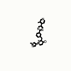 Cc1cnccc1-c1cnc(-c2cccc(Cc3nn(-c4cnn(C)c4)ccc3=O)c2)nc1